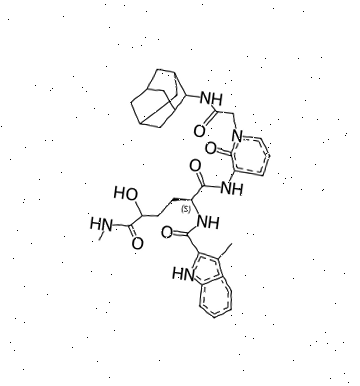 CNC(=O)C(O)CC[C@H](NC(=O)c1[nH]c2ccccc2c1C)C(=O)Nc1cccn(CC(=O)NC2C3CC4CC(C3)CC2C4)c1=O